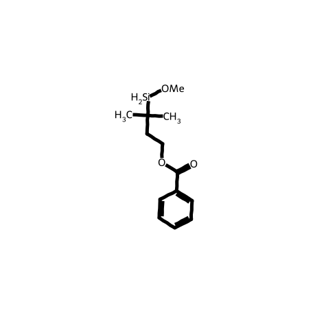 CO[SiH2]C(C)(C)CCOC(=O)c1ccccc1